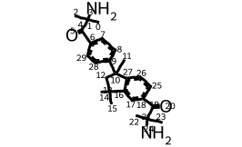 CC(C)(N)C(=O)c1ccc(C2(C)CC(C)(C)c3cc(C(=O)C(C)(C)N)ccc32)cc1